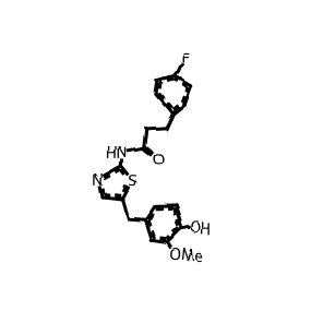 COc1cc(Cc2cnc(NC(=O)CCc3ccc(F)cc3)s2)ccc1O